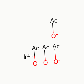 CC(=O)[O-].CC(=O)[O-].CC(=O)[O-].CC(=O)[O-].[Ir+4]